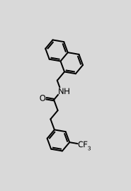 O=C(CCc1cccc(C(F)(F)F)c1)NCc1cccc2ccccc12